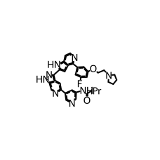 CC(C)C(=O)Nc1cncc(-c2cc3c(-c4cc5c(-c6cc(F)cc(OCCN7CCCC7)c6)nccc5[nH]4)n[nH]c3cn2)c1